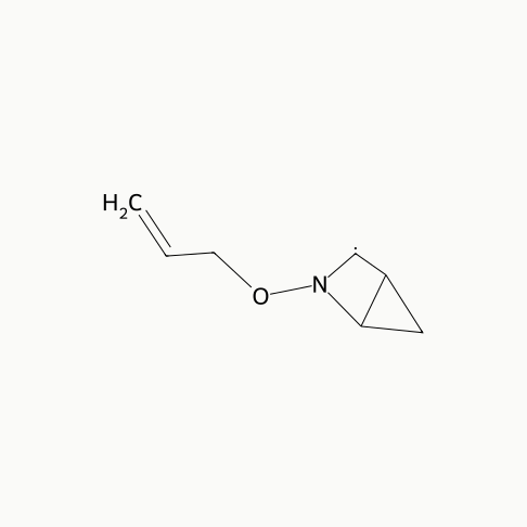 C=CCON1[CH]C2CC21